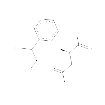 CC(CN)c1ccccc1.O=C(O)C[C@@H](O)C(=O)O